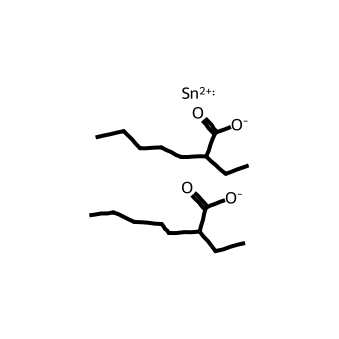 CCCCCC(CC)C(=O)[O-].CCCCCC(CC)C(=O)[O-].[Sn+2]